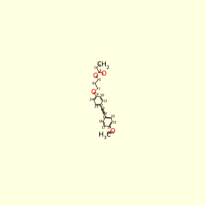 C=CC(=O)OCCCOc1ccc(C#Cc2ccc(OC)cc2)cc1